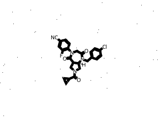 N#Cc1ccc(N2CC(=O)N(Cc3ccc(Cl)cc3)[C@H]3CN(C(=O)C4CC4)CC3C2=O)c(F)c1